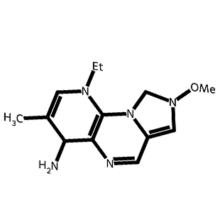 CCN1C=C(C)C(N)C2=C1N1CN(OC)C=C1C=N2